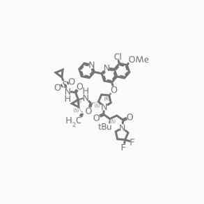 C=C[C@@H]1C[C@]1(NC(=O)[C@@H]1C[C@@H](Oc2cc(-c3ccccn3)nc3c(Cl)c(OC)ccc23)CN1C(=O)[C@@H](CC(=O)N1CCC(F)(F)C1)C(C)(C)C)C(=O)NS(=O)(=O)C1CC1